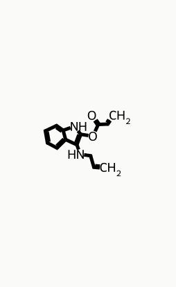 C=CCNc1c(OC(=O)C=C)[nH]c2ccccc12